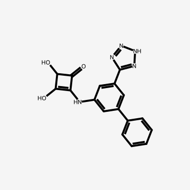 O=C1C(Nc2cc(-c3ccccc3)cc(-c3nn[nH]n3)c2)=C(O)C1O